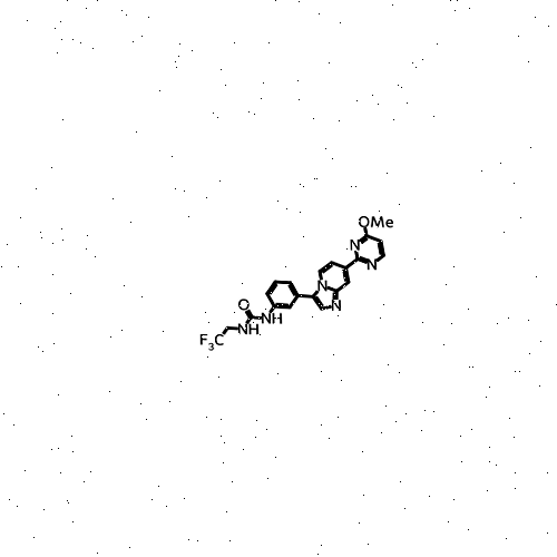 COc1ccnc(-c2ccn3c(-c4cccc(NC(=O)NCC(F)(F)F)c4)cnc3c2)n1